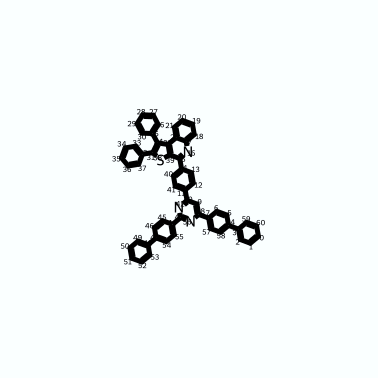 c1ccc(-c2ccc(-c3cc(-c4ccc(-c5nc6ccccc6c6c(-c7ccccc7)c(-c7ccccc7)sc56)cc4)nc(-c4ccc(-c5ccccc5)cc4)n3)cc2)cc1